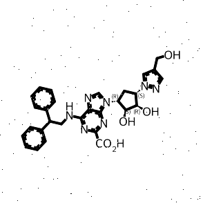 O=C(O)c1nc(NCC(c2ccccc2)c2ccccc2)c2ncn([C@@H]3C[C@H](n4cc(CO)cn4)[C@@H](O)[C@H]3O)c2n1